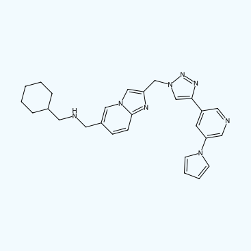 c1ccn(-c2cncc(-c3cn(Cc4cn5cc(CNCC6CCCCC6)ccc5n4)nn3)c2)c1